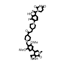 COc1cc(-c2cn(C)c(=O)c3[nH]ncc23)cc(OC)c1CN1CCC(C(=O)CC2CCN(c3ccc4c(N5CCC(=O)NC5=O)n[nH]c4c3F)CC2)CC1